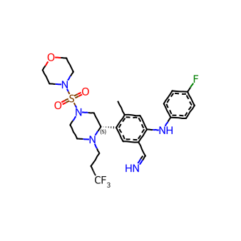 Cc1cc(Nc2ccc(F)cc2)c(C=N)cc1[C@H]1CN(S(=O)(=O)N2CCOCC2)CCN1CCC(F)(F)F